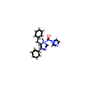 C[N+]1(C(=O)n2ccnc2)C=NC(c2ccccc2)=C1Cc1ccccc1